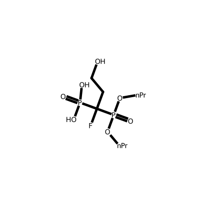 CCCOP(=O)(OCCC)C(F)(CCO)P(=O)(O)O